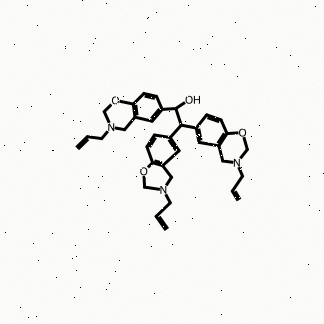 C=CCN1COc2ccc(C(O)C(c3ccc4c(c3)CN(CC=C)CO4)c3ccc4c(c3)CN(CC=C)CO4)cc2C1